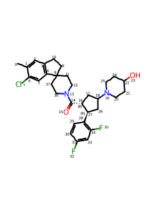 Cc1cc2c(cc1Cl)C1(CC2)CCN(C(=O)[C@@H]2CC(N3CCC(O)CC3)C[C@H]2c2ccc(F)cc2F)CC1